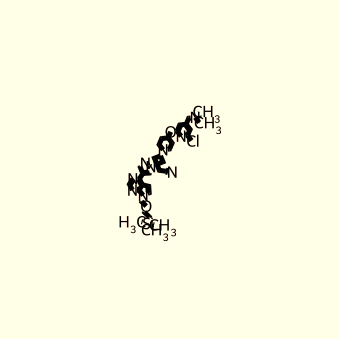 CN(C)Cc1cc(Cl)nc(OC2CCN(C3CC(CC#N)(n4cc(-c5ncnc6c5ccn6COCC[Si](C)(C)C)cn4)C3)CC2)c1